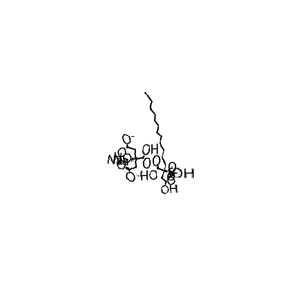 CCCCCCCCCCCCC(CC(=O)O)(C(=O)O)S(=O)(=O)O.O=C([O-])CC(O)(CC(=O)[O-])C(=O)O.[Na+].[Na+]